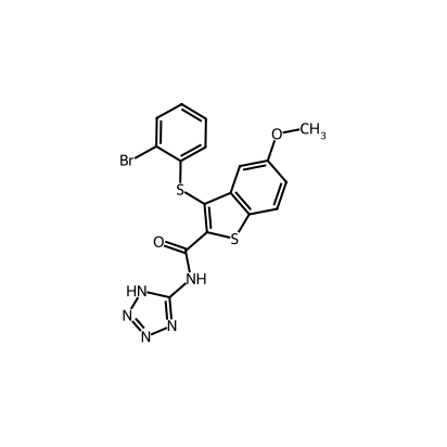 COc1ccc2sc(C(=O)Nc3nnn[nH]3)c(Sc3ccccc3Br)c2c1